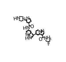 O=C(Nc1cnc2[nH]cc(-c3ccn4ncc(C(=O)NCC(F)F)c4c3)c2c1)c1ccnc(N2CCNCC2)c1